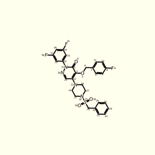 O=c1c(OCc2ccc(F)cc2)c(N2CCN(S(=O)(=O)Cc3ccccc3)CC2)cnn1-c1cc(F)cc(F)c1